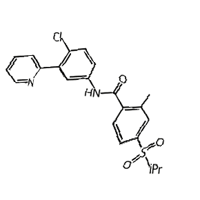 Cc1cc(S(=O)(=O)C(C)C)ccc1C(=O)Nc1ccc(Cl)c(-c2ccccn2)c1